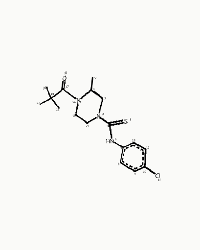 CC1CN(C(=S)Nc2ccc(Cl)cc2)CCN1C(=O)C(C)(C)C